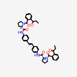 CCC(=O)c1ccccc1C(=O)N1CCC[C@H]1C(=O)Nc1ccc(/C=C/c2ccc(NC(=O)[C@@H]3CCCN3C(=O)c3ccccc3C(=O)CC)cc2)cc1